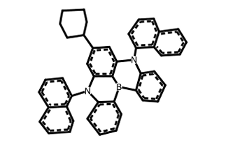 c1ccc2c(c1)B1c3ccccc3N(c3cccc4ccccc34)c3cc(C4CCCCC4)cc(c31)N2c1cccc2ccccc12